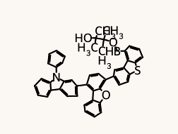 CC(C)(O)C(C)(C)OBc1cccc2sc3ccc(-c4ccc(-c5ccc6c7ccccc7n(-c7ccccc7)c6c5)c5c4oc4ccccc45)cc3c12